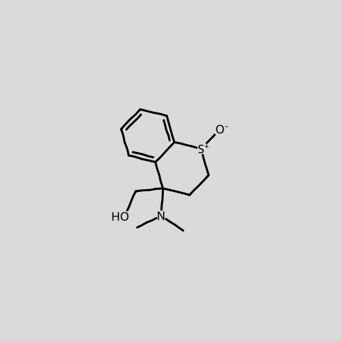 CN(C)C1(CO)CC[S+]([O-])c2ccccc21